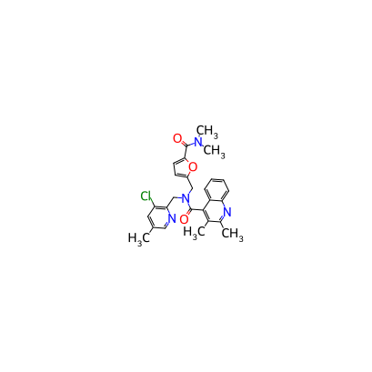 Cc1cnc(CN(Cc2ccc(C(=O)N(C)C)o2)C(=O)c2c(C)c(C)nc3ccccc23)c(Cl)c1